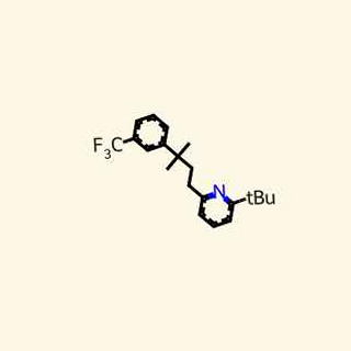 CC(C)(C)c1cccc(CCC(C)(C)c2cccc(C(F)(F)F)c2)n1